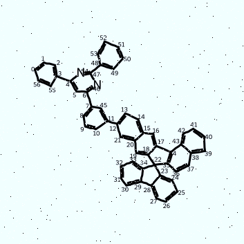 c1ccc(-c2cc(-c3cccc(-c4ccc5cc6c(cc5c4)C4(c5ccccc5-c5ccccc54)c4ccc5ccccc5c4-6)c3)nc(-c3ccccc3)n2)cc1